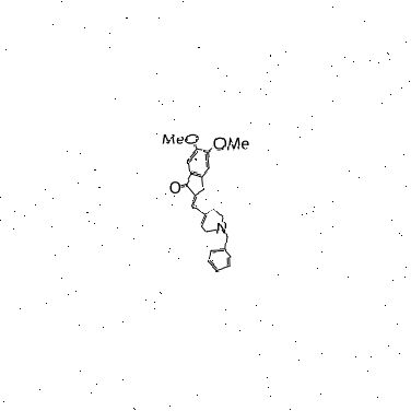 COc1cc2c(cc1OC)C(=O)/C(=C/C1=CCN(Cc3ccccc3)CC1)C2